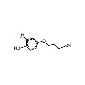 N#CCCCOc1ccc(N)c(N)c1